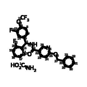 NC(=O)O.O=C(NC(c1ccc(OC(F)(F)F)c(F)c1)c1ncccc1F)c1ccc(OCc2ccccc2)nc1